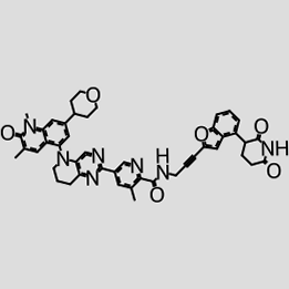 Cc1cc(-c2ncc3c(n2)CCCN3c2cc(C3CCOCC3)cc3c2cc(C)c(=O)n3C)cnc1C(=O)NCC#Cc1cc2c(C3CCC(=O)NC3=O)cccc2o1